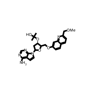 COCc1ccc2ccc(OCC3OC(n4ccc5c(N)ncnc54)C[C@@H]3OC(C)(C)O)cc2n1